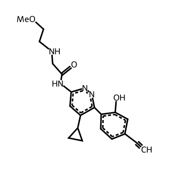 C#Cc1ccc(-c2nnc(NC(=O)CNCCOC)cc2C2CC2)c(O)c1